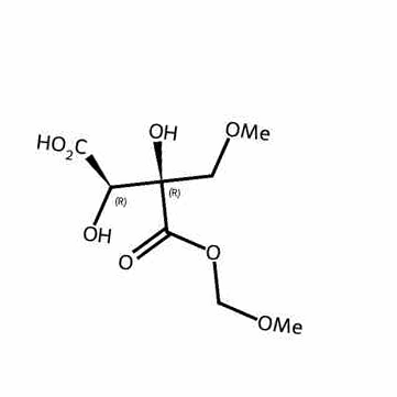 COCOC(=O)[C@@](O)(COC)[C@@H](O)C(=O)O